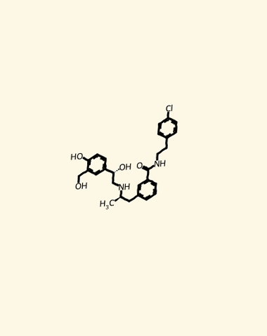 C[C@H](Cc1cccc(C(=O)NCCc2ccc(Cl)cc2)c1)NC[C@@H](O)c1ccc(O)c(CO)c1